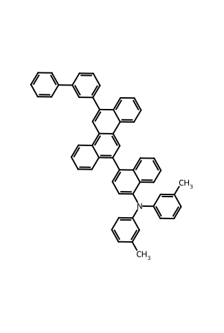 Cc1cccc(N(c2cccc(C)c2)c2ccc(-c3cc4c5ccccc5c(-c5cccc(-c6ccccc6)c5)cc4c4ccccc34)c3ccccc23)c1